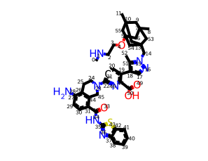 CNCCOC12CC3(C)CC(C)(CC(Cn4ncc(-c5ccc(N6CCc7c(N)ccc(C(=O)Nc8nc9ccccc9s8)c7C6)nc5C(=O)O)c4C)(C3)C1)C2